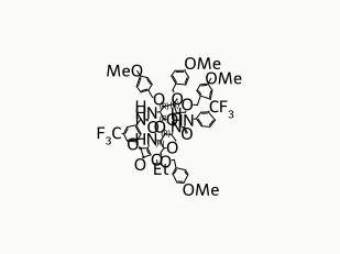 CCOc1c(N[C@H]2C(COCc3ccc(OC)cc3)OCC(NC(=O)Nc3cccc(C(F)(F)F)c3)[C@H]2O[C@@H]2OC(COCc3ccc(OC)cc3)[C@H](OCc3ccc(OC)cc3)[C@H](OCc3ccc(OC)cc3)C2NC(=O)Nc2cccc(C(F)(F)F)c2)c(=O)c1=O